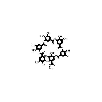 COC(=O)c1cc(O)c(O)c(OC(=O)c2cc(O)c(O)c(OC(=O)c3cc(O)c(O)c(OC(=O)c4cc(O)c(O)c(OC(=O)c5cc(O)c(O)c(OC(=O)c6cc(O)c(C)c(O)c6)c5)c4)c3)c2)c1